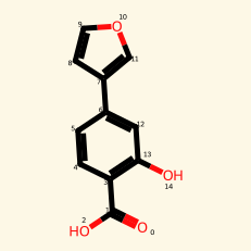 O=C(O)c1ccc(-c2ccoc2)cc1O